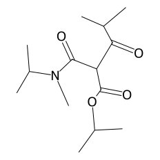 CC(C)OC(=O)C(C(=O)C(C)C)C(=O)N(C)C(C)C